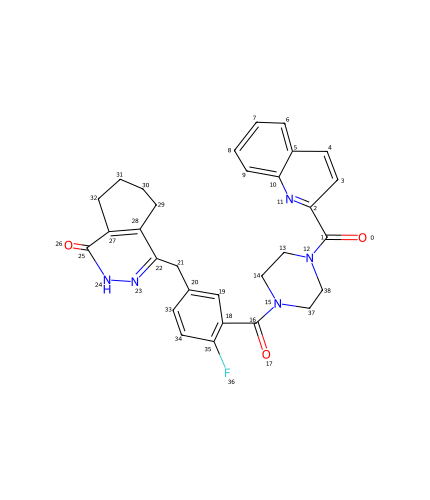 O=C(c1ccc2ccccc2n1)N1CCN(C(=O)c2cc(Cc3n[nH]c(=O)c4c3CCCC4)ccc2F)CC1